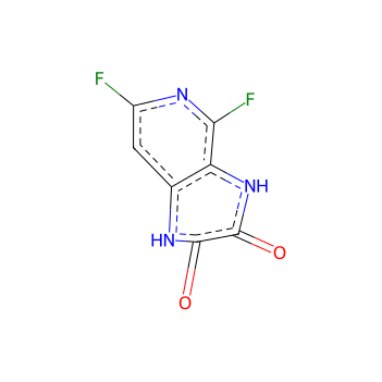 O=c1[nH]c2cc(F)nc(F)c2[nH]c1=O